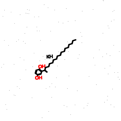 CCCCCCCCCCCCCCCCC(C)c1cc(O)ccc1O.[KH]